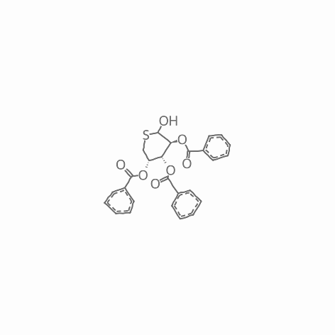 O=C(O[C@H]1[C@H](OC(=O)c2ccccc2)C(O)SC[C@H]1OC(=O)c1ccccc1)c1ccccc1